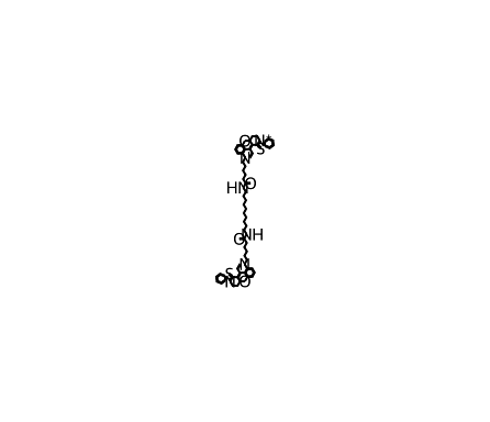 O=C(CCCCCN1C=CC2=C3c4sc5ccccc5[n+]4CCC3Oc3cccc1c32)NCCCCCCCCCCNC(=O)CCCCCN1C=CC2=C3c4sc5ccccc5[n+]4CCC3Oc3cccc1c32